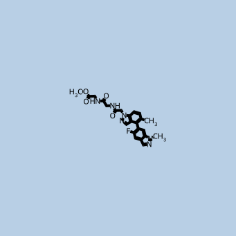 COC(=O)CNC(=O)CNC(=O)Cn1ncc2c(-c3cc4c(cnn4C)cc3F)c(C)ccc21